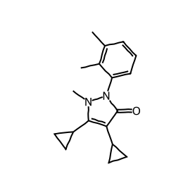 Cc1cccc(-n2c(=O)c(C3CC3)c(C3CC3)n2C)c1C